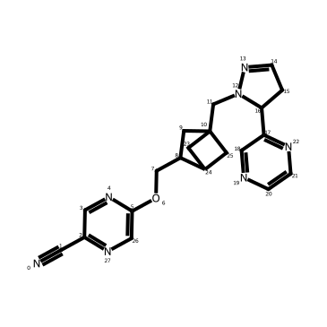 N#Cc1cnc(OCC2CC3(CN4N=CCC4c4cnccn4)CC2C3)cn1